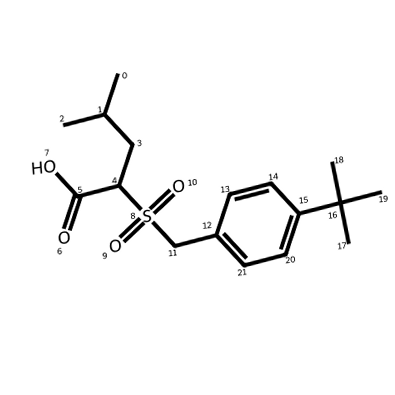 CC(C)CC(C(=O)O)S(=O)(=O)Cc1ccc(C(C)(C)C)cc1